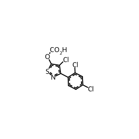 O=C(O)Oc1snc(-c2ccc(Cl)cc2Cl)c1Cl